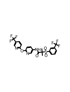 CC(C)(C(=O)Nc1ccc(Oc2ccc(C(F)(F)F)cn2)nc1)S(=O)(=O)c1cccc(C(F)(F)F)c1